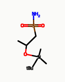 CC(CS(N)(=O)=O)O[Si](C)(C)C(C)(C)C